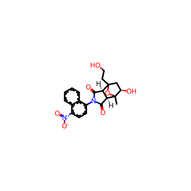 CC12OC(CCO)(C[C@H]1O)[C@@H]1C(=O)N(c3ccc([N+](=O)[O-])c4ccccc34)C(=O)[C@@H]12